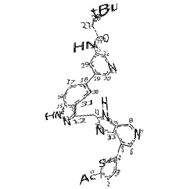 CC(=O)c1ccc(-c2cncc3[nH]c(-c4n[nH]c5ccc(-c6cncc(NC(=O)CC(C)(C)C)c6)cc45)nc23)s1